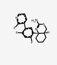 NC1=N[C@@]2(c3cc(-c4cccnc4F)c(F)cc3F)CCCC[C@H]2CS1